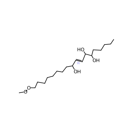 CCCCCC(O)C(O)/C=C/C(O)CCCCCCCCOOC